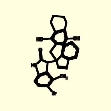 Cc1c(Br)ccc2c1C(C1(Cc3cc(O)c4c(c3O)CCCC4)C=Cc3ccccc31)C(=O)N2